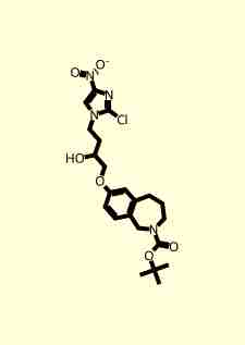 CC(C)(C)OC(=O)N1CCCc2cc(OCC(O)CCn3cc([N+](=O)[O-])nc3Cl)ccc2C1